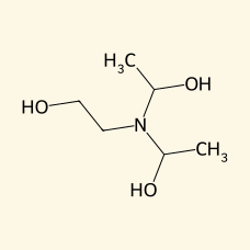 CC(O)N(CCO)C(C)O